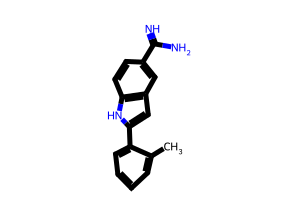 Cc1ccccc1-c1cc2cc(C(=N)N)ccc2[nH]1